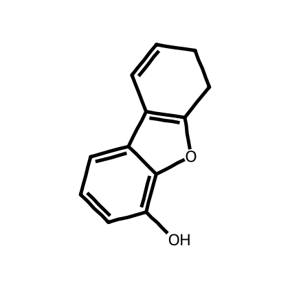 Oc1cccc2c3c(oc12)CCC=C3